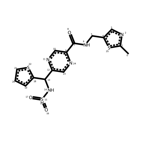 Cc1ncc(CNC(=O)c2cnc(C(N[SH](=O)=O)c3cccs3)cn2)s1